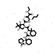 CCCC[C@H](NC(=O)[C@@H]1[C@@H]2[C@H](CN1C(=O)[C@@H](NC(=O)NC1([C@@H]3CCCS3(=O)=O)CCCCC1)C1(C)CCCCC1)C2(C)C)C(=O)C(=O)NCC